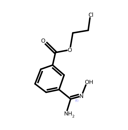 N/C(=N/O)c1cccc(C(=O)OCCCl)c1